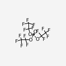 O=P(OC(F)(F)C(F)(F)F)(OC(F)(F)C(F)(F)F)OC(F)(F)C(F)(F)F